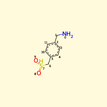 NCc1[c]cc(C[SH](=O)=O)cc1